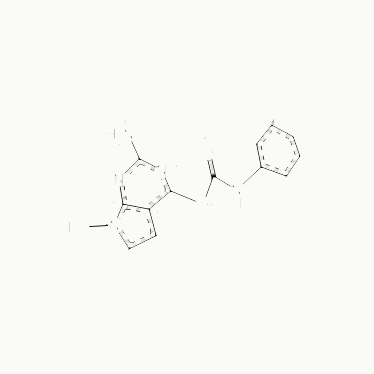 Cn1ccc2c(OC(=O)Nc3ccccc3)nc(N)nc21